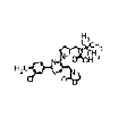 Cc1ccc(-c2ncc(CN3CCOC3=O)c(N3CCC(CN(C(=O)O)C(C)(C)C)C3)n2)cc1Cl